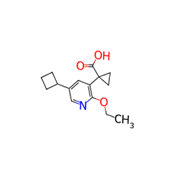 CCOc1ncc(C2CCC2)cc1C1(C(=O)O)CC1